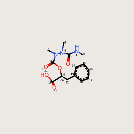 CNC(=O)N(C)N(C)C(=O)O[C@@H](Cc1ccccc1)C(=O)O